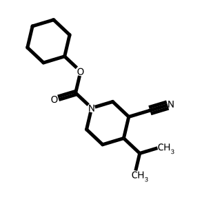 CC(C)C1CCN(C(=O)OC2CCCCC2)CC1C#N